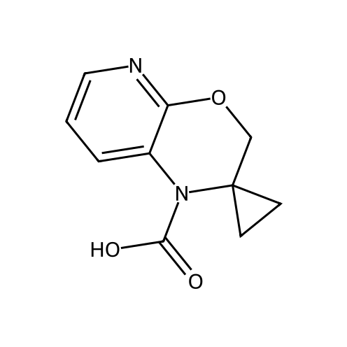 O=C(O)N1c2cccnc2OCC12CC2